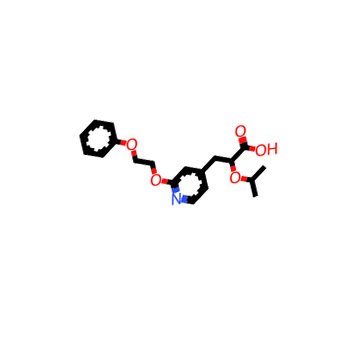 CC(C)OC(Cc1ccnc(OCCOc2ccccc2)c1)C(=O)O